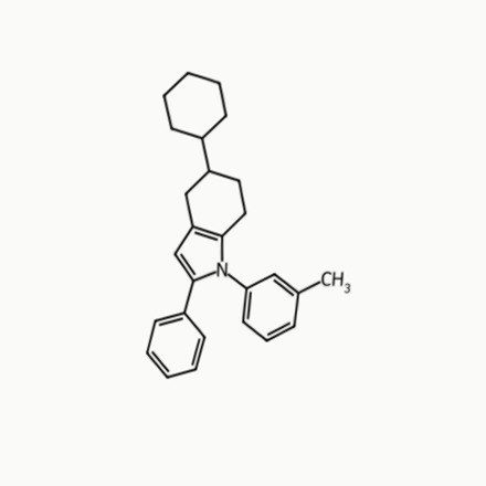 Cc1cccc(-n2c(-c3ccccc3)cc3c2CCC(C2CCCCC2)C3)c1